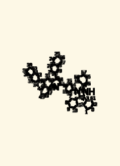 c1ccc(C2=C(c3ccccc3)N(c3ccc(-c4cc(-c5ccc6ccccc6c5)c5cc(-c6ccc7ccccc7c6)c6ccccc6c5n4)cc3)C(c3ccccc3)N2)cc1